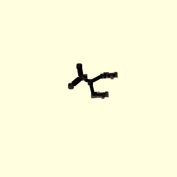 CCCCCCCN(CCCCCCC)[SH](=O)=O